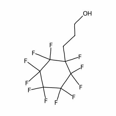 OCCCC1(F)C(F)(F)C(F)(F)C(F)(F)C(F)(F)C1(F)F